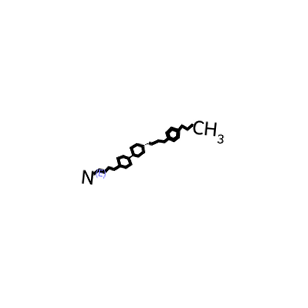 CCCCc1ccc(CCCC[C@H]2CC[C@H](C3CCC(CC/C=C/C#N)CC3)CC2)cc1